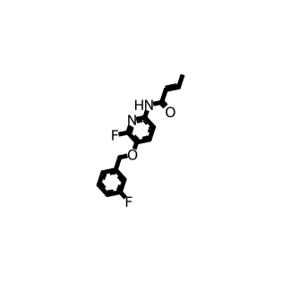 C/C=C/C(=O)Nc1ccc(OCc2cccc(F)c2)c(F)n1